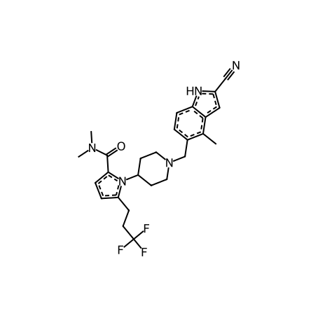 Cc1c(CN2CCC(n3c(CCC(F)(F)F)ccc3C(=O)N(C)C)CC2)ccc2[nH]c(C#N)cc12